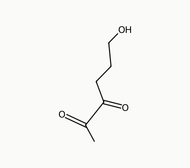 CC(=O)C(=O)CCCO